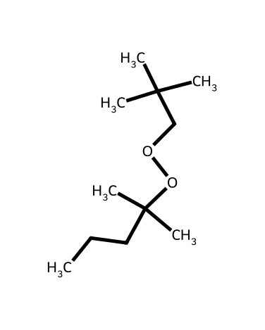 CCCC(C)(C)OOCC(C)(C)C